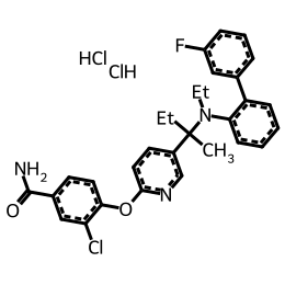 CCN(c1ccccc1-c1cccc(F)c1)C(C)(CC)c1ccc(Oc2ccc(C(N)=O)cc2Cl)nc1.Cl.Cl